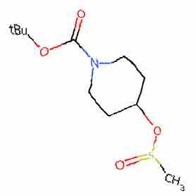 CS(=O)OC1CCN(C(=O)OC(C)(C)C)CC1